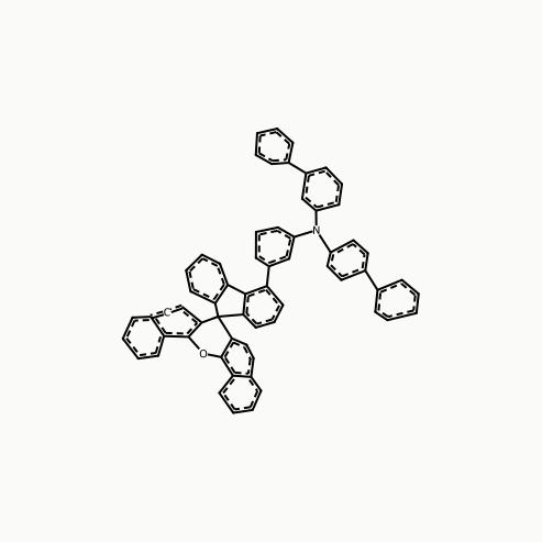 c1ccc(-c2ccc(N(c3cccc(-c4ccccc4)c3)c3cccc(-c4cccc5c4-c4ccccc4C54c5ccc6ccccc6c5Oc5c4ccc4ccccc54)c3)cc2)cc1